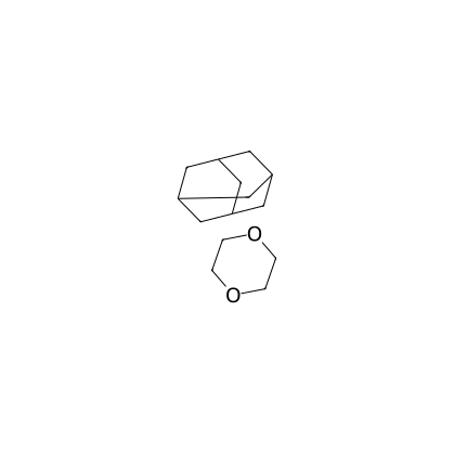 C1C2CC3CC1CC(C2)C3.C1COCCO1